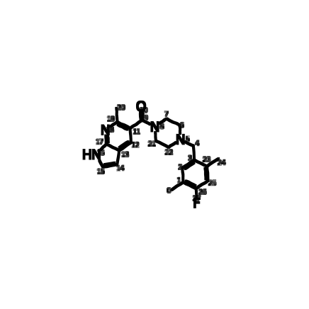 Cc1cc(CN2CCN(C(=O)c3cc4cc[nH]c4nc3C)CC2)c(C)cc1F